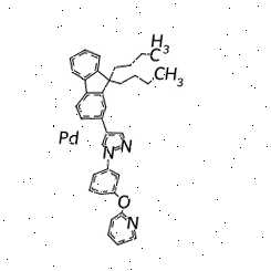 CCCCC1(CCCC)c2ccccc2-c2ccc(-c3cnn(-c4cccc(Oc5ccccn5)c4)c3)cc21.[Pd]